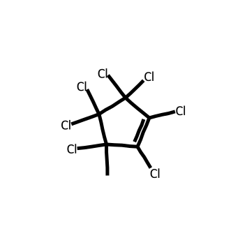 CC1(Cl)C(Cl)=C(Cl)C(Cl)(Cl)C1(Cl)Cl